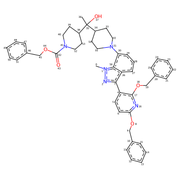 Cn1nc(-c2ccc(OCc3ccccc3)nc2OCc2ccccc2)c2cccc(N3CCC(C(C)(O)C4CCN(C(=O)OCc5ccccc5)CC4)CC3)c21